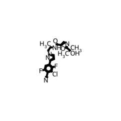 C[C@@H](Cn1ccc(-c2cc(F)c(C#N)c(Cl)c2F)n1)NC(=O)c1cnc(C(C)(C)O)o1